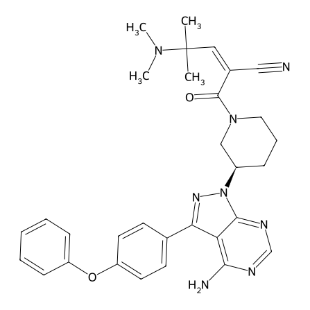 CN(C)C(C)(C)/C=C(/C#N)C(=O)N1CCC[C@@H](n2nc(-c3ccc(Oc4ccccc4)cc3)c3c(N)ncnc32)C1